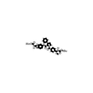 COC(=O)Nc1nc2ccc(NC(=O)[C@@H]3[C@H](C4CCCCC4)CCN3C(=O)[C@H]3CC[C@H]([C@@H](CF)NC(=O)OC(C)(C)C)CC3)cc2s1